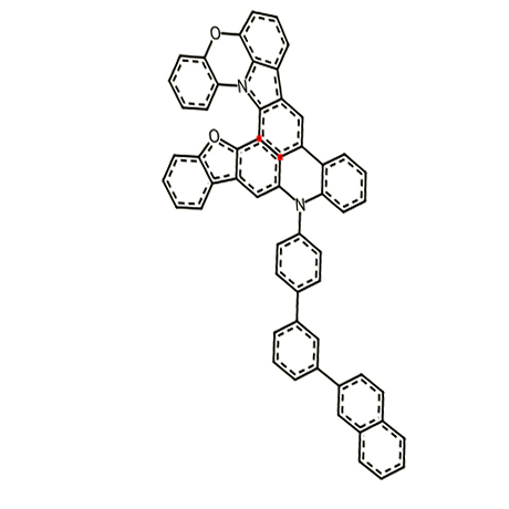 c1cc(-c2ccc(N(c3ccc4oc5ccccc5c4c3)c3ccccc3-c3ccc4c(c3)c3cccc5c3n4-c3ccccc3O5)cc2)cc(-c2ccc3ccccc3c2)c1